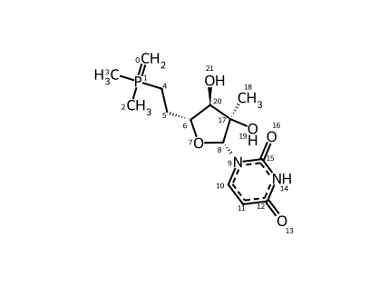 C=P(C)(C)CC[C@H]1O[C@@H](n2ccc(=O)[nH]c2=O)[C@](C)(O)[C@@H]1O